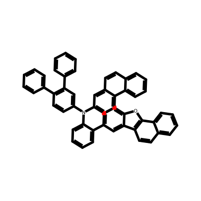 c1ccc(-c2ccc(N(c3ccc4c(ccc5ccccc54)c3)c3ccccc3-c3ccc4oc5c6ccccc6ccc5c4c3)cc2-c2ccccc2)cc1